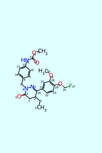 CCC1CC(=O)N(Cc2ccc(NC(=O)OC)cc2)N=C1c1ccc(OCF)c(OC)c1